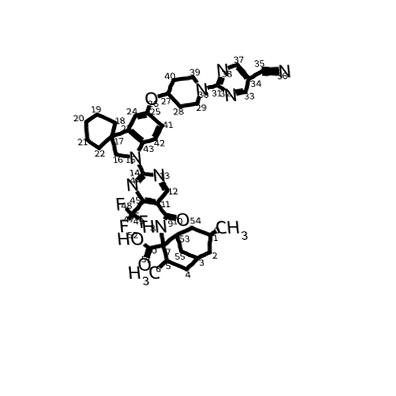 CC1CC2CC(C)C(NC(=O)c3cnc(N4CC5(CCCCC5)c5cc(OC6CCN(c7ncc(C#N)cn7)CC6)ccc54)nc3C(F)(F)F)(C(=O)O)C(C1)C2